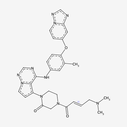 Cc1cc(Nc2ncnn3ccc(N4CCN(C(=O)/C=C/CN(C)C)CC4=O)c23)ccc1Oc1ccn2ncnc2c1